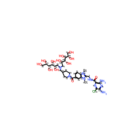 CCn1c(CNC(=O)c2nc(Cl)c(N)nc2N)[n+](CC)c2ccc(C(=O)N3CCC(CN(C[C@H](O)[C@@H](O)[C@H](O)[C@H](O)CO)C[C@H](O)[C@@H](O)[C@H](O)[C@H](O)CO)CC3)cc21